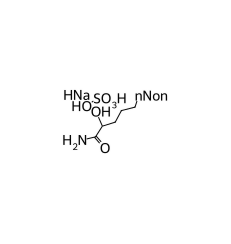 CCCCCCCCCCCCC(O)C(N)=O.O=S(=O)(O)O.[NaH]